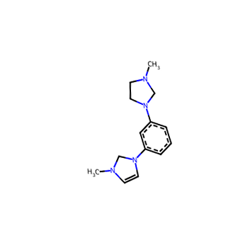 CN1C=CN(c2cccc(N3CCN(C)C3)c2)C1